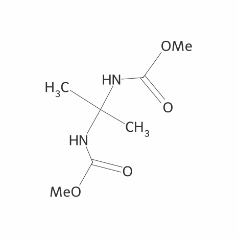 COC(=O)NC(C)(C)NC(=O)OC